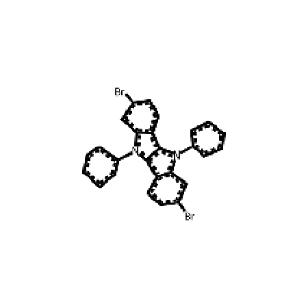 Brc1ccc2c(c1)n(-c1ccccc1)c1c3ccc(Br)cc3n(-c3ccccc3)c21